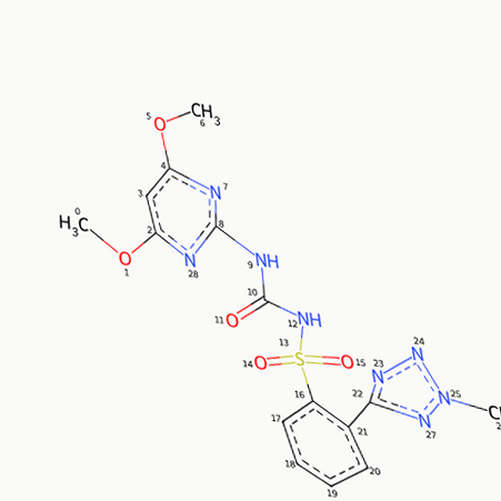 COc1cc(OC)nc(NC(=O)NS(=O)(=O)c2ccccc2-c2nnn(C)n2)n1